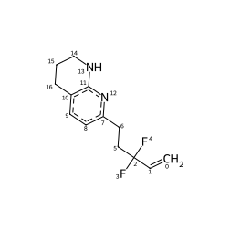 C=CC(F)(F)CCc1ccc2c(n1)NCCC2